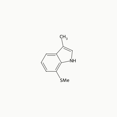 CSc1cccc2c(C)c[nH]c12